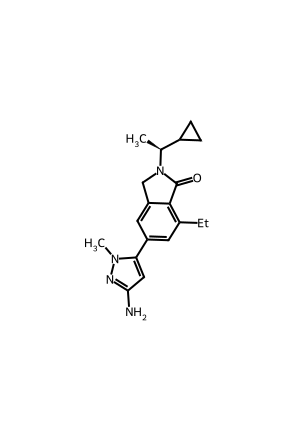 CCc1cc(-c2cc(N)nn2C)cc2c1C(=O)N([C@@H](C)C1CC1)C2